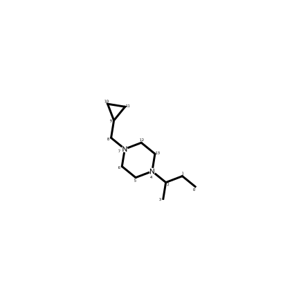 CCC(C)N1CCN(CC2CC2)CC1